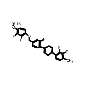 CCCCCCOc1ccc(OCc2ccc(C3=CCC(c4ccc(C)c(F)c4F)CC3)c(F)c2)c(F)c1F